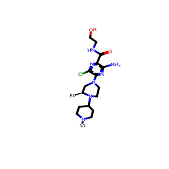 CC[C@H]1CN(c2nc(N)c(C(=O)NCCO)nc2Cl)CCN1C1CCN(CC)CC1